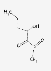 CCCC(O)C(=O)C(C)=O